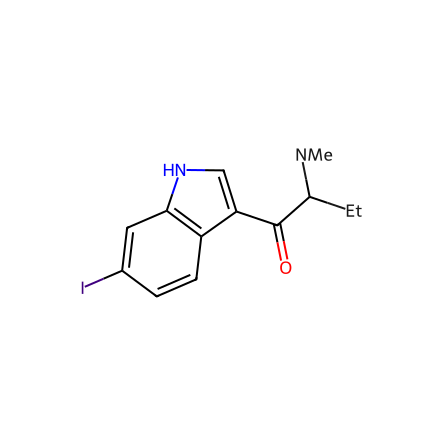 CCC(NC)C(=O)c1c[nH]c2cc(I)ccc12